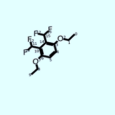 CCOc1ccc(OCC)c(C(F)F)c1C(F)F